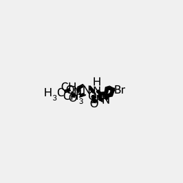 CC(C)(C)OC(=O)N1CCN(CCNc2c([N+](=O)[O-])cnc3cc(Br)ccc23)CC1